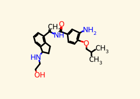 C=C(NC(=O)c1ccc(OCC(C)C)c(N)c1)c1cccc2c1CCC2NCCO